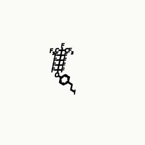 FC(F)(F)C(F)(C(F)(F)F)C(F)(F)C(F)(F)C(F)(F)C(F)(F)Oc1ccc(CCI)cc1